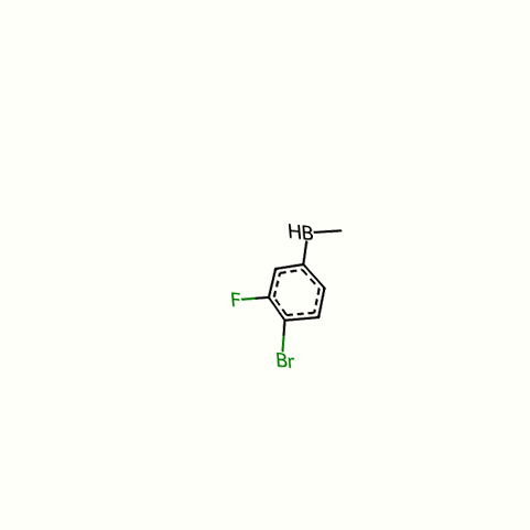 CBc1ccc(Br)c(F)c1